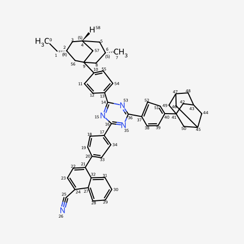 CC[C@@H]1C[C@@H]2C[C@H](C)CC(c3ccc(-c4nc(-c5ccc(-c6ccc(C#N)c7ccccc67)cc5)nc(-c5ccc(C67CC8CC(CC(C8)C6)C7)cc5)n4)cc3)(C1)C2